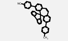 Cc1ccc(-c2ccc3c(c2)C2(c4cc(-c5ccc(C#N)cc5)ccc4C=C3)c3ccccc3-c3ccccc32)cc1